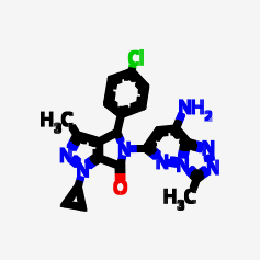 Cc1nn(C2CC2)c2c1C(c1ccc(Cl)cc1)N(c1cc(N)c3nnc(C)n3n1)C2=O